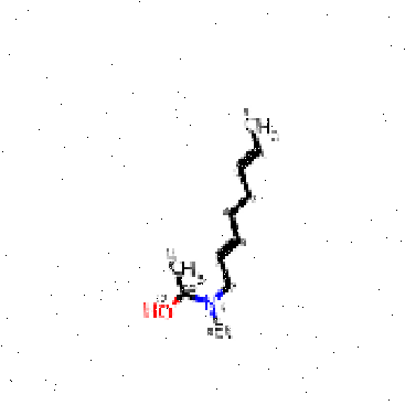 CC=CCCC=CCN(CC)C(C)O